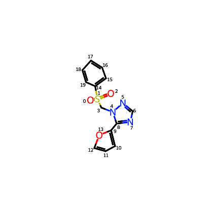 O=S(=O)(Cn1ncnc1-c1ccco1)c1ccccc1